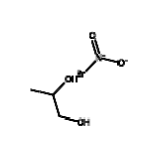 CC(O)CO.O=[N+]([O-])Br